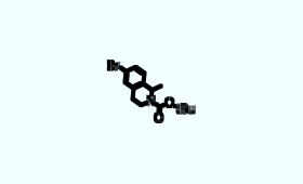 CC1c2ccc(Br)cc2CCN1C(=O)OC(C)(C)C